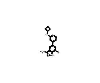 Nc1n[nH]c2c(Br)cc(-c3ccnc(NC4CCC4)c3)cc12